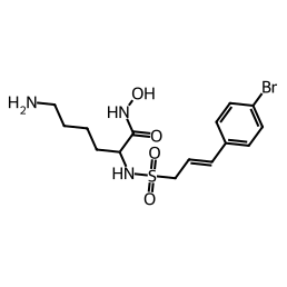 NCCCCC(NS(=O)(=O)CC=Cc1ccc(Br)cc1)C(=O)NO